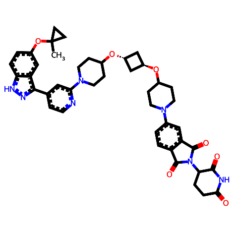 CC1(Oc2ccc3[nH]nc(-c4ccnc(N5CCC(O[C@H]6C[C@H](OC7CCN(c8ccc9c(c8)C(=O)N(C8CCC(=O)NC8=O)C9=O)CC7)C6)CC5)c4)c3c2)CC1